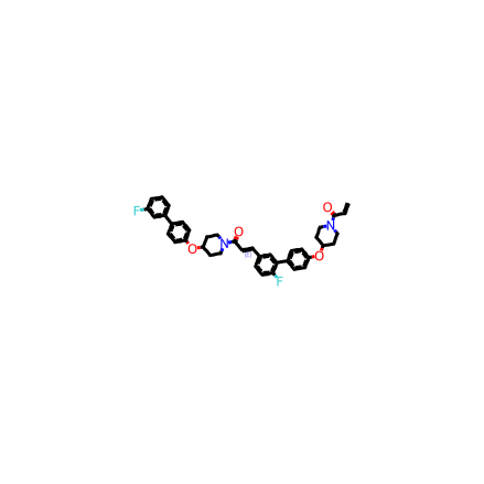 C=CC(=O)N1CCC(Oc2ccc(-c3cc(/C=C/C(=O)N4CCC(Oc5ccc(-c6cccc(F)c6)cc5)CC4)ccc3F)cc2)CC1